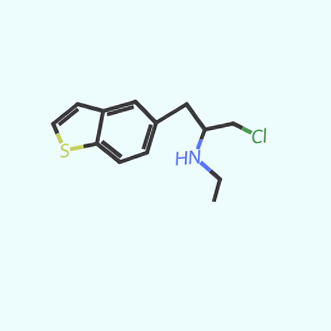 CCNC(CCl)Cc1ccc2sccc2c1